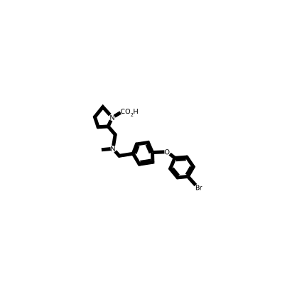 CN(Cc1ccc(Oc2ccc(Br)cc2)cc1)CC1CCCN1C(=O)O